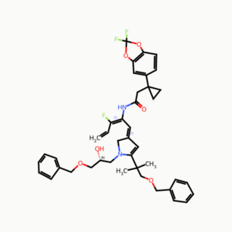 C=C/C(F)=C(\C=C1\C=C(C(C)(C)COCc2ccccc2)N(C[C@@H](O)COCc2ccccc2)C1)NC(=O)CC1(c2ccc3c(c2)OC(F)(F)O3)CC1